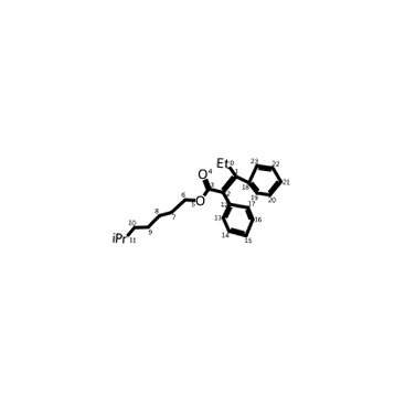 CCC(=C(C(=O)OCCCCCC(C)C)c1ccccc1)c1ccccc1